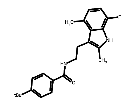 Cc1[nH]c2c(F)ccc(C)c2c1CCNC(=O)c1ccc(C(C)(C)C)cc1